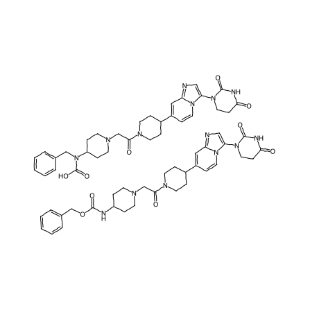 O=C1CCN(c2cnc3cc(C4CCN(C(=O)CN5CCC(N(Cc6ccccc6)C(=O)O)CC5)CC4)ccn23)C(=O)N1.O=C1CCN(c2cnc3cc(C4CCN(C(=O)CN5CCC(NC(=O)OCc6ccccc6)CC5)CC4)ccn23)C(=O)N1